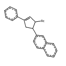 CC(=O)C1C=C(c2ccccc2)CC1c1ccc2ccccc2c1